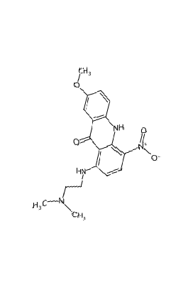 COc1ccc2[nH]c3c([N+](=O)[O-])ccc(NCCN(C)C)c3c(=O)c2c1